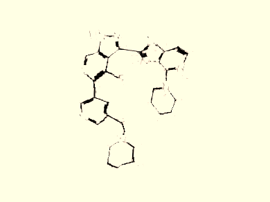 Fc1c(-c2cncc(CN3CCCCC3)c2)ncc2[nH]nc(-c3nc4c(N5CCCCC5)nccc4[nH]3)c12